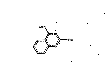 CNc1cc(NC)c2ccccc2n1